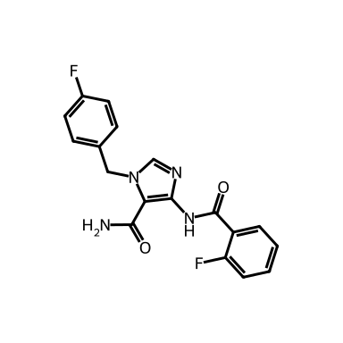 NC(=O)c1c(NC(=O)c2ccccc2F)ncn1Cc1ccc(F)cc1